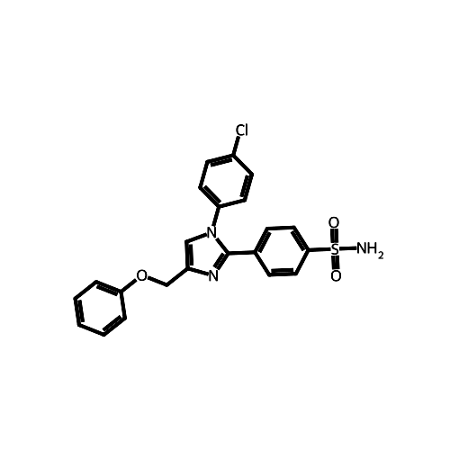 NS(=O)(=O)c1ccc(-c2nc(COc3ccccc3)cn2-c2ccc(Cl)cc2)cc1